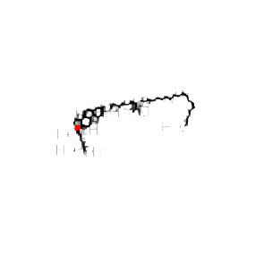 CCCCC/C=C\C/C=C\CCCCCCCCOC[C@H](COCCCCOC1CC[C@@]2(C)C(=CC[C@H]3[C@@H]4CC[C@H]([C@H](C)CCCC(C)C)[C@@]4(C)CC[C@@H]32)C1)N(C)C